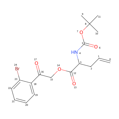 C=CCC(NC(=O)OC(C)(C)C)C(=O)OCC(=O)c1ccccc1Br